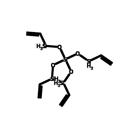 C=C[SiH2]O[Si](O[SiH2]C=C)(O[SiH2]C=C)O[SiH2]C=C